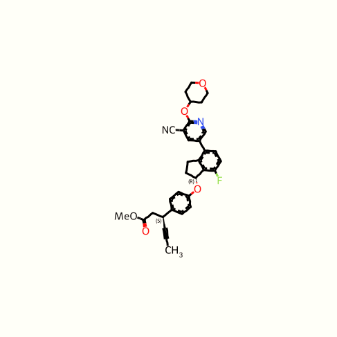 CC#C[C@@H](CC(=O)OC)c1ccc(O[C@@H]2CCc3c(-c4cnc(OC5CCOCC5)c(C#N)c4)ccc(F)c32)cc1